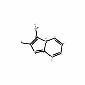 CC(=O)c1c(C)nc2ncccn12